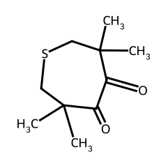 CC1(C)CSCC(C)(C)C(=O)C1=O